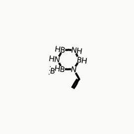 C=CN1BNBNB1.[B]